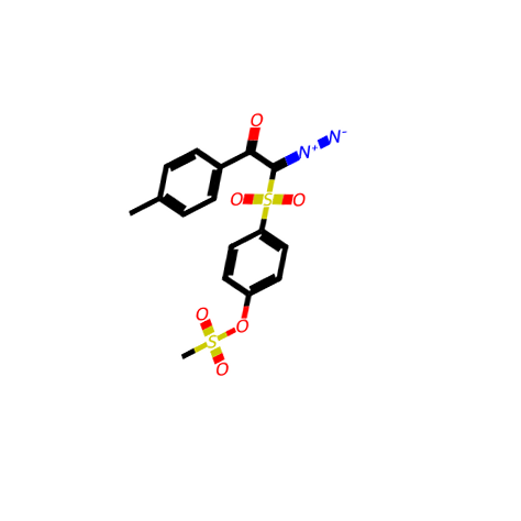 Cc1ccc(C(=O)C(=[N+]=[N-])S(=O)(=O)c2ccc(OS(C)(=O)=O)cc2)cc1